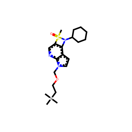 C[Si](C)(C)CCOCn1ccc2c3c(cnc21)[SH](C)(=O)N3C1CCCCC1